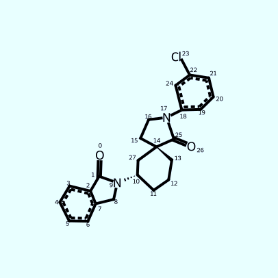 O=C1c2ccccc2CN1[C@H]1CCC[C@]2(CCN(c3cccc(Cl)c3)C2=O)C1